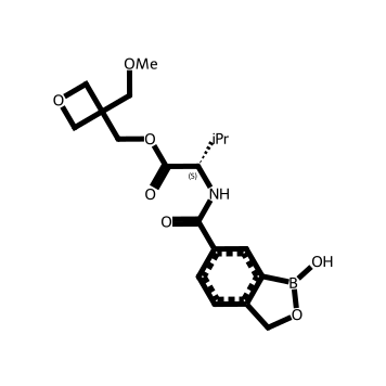 COCC1(COC(=O)[C@@H](NC(=O)c2ccc3c(c2)B(O)OC3)C(C)C)COC1